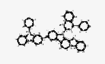 c1ccc(-c2nc(-n3c4ccc(-c5ccc6c7ccccc7n(-c7ccccc7)c6c5)cc4c4ccn5c6ccccc6nc5c43)nc3ccccc23)cc1